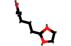 [Br][Mg][CH2]CCC1OCCO1